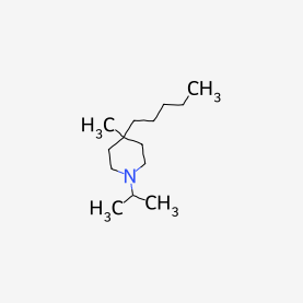 CCCCCC1(C)CCN(C(C)C)CC1